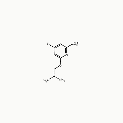 CC(N)COc1cc(F)cc(C(=O)O)n1